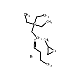 CC1CO1.CCCC=O.CC[N+](CC)(CC)CC.[Br-]